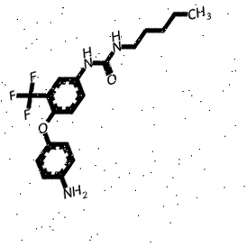 CCCCCNC(=O)Nc1ccc(Oc2ccc(N)cc2)c(C(F)(F)F)c1